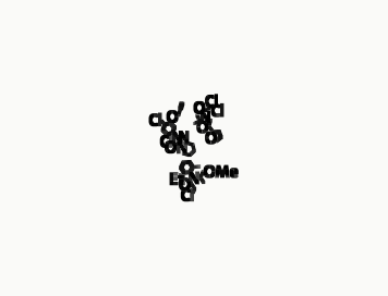 C#CCOc1cc(-n2nc3n(c2=O)CCCC3)c(Cl)cc1Cl.CC1(C)OC(c2ccco2)CN1C(=O)C(Cl)Cl.CCc1cccc(C)c1N(C(=O)CCl)C(C)COC